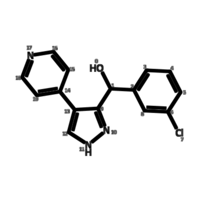 OC(c1cccc(Cl)c1)c1n[nH]cc1-c1ccncc1